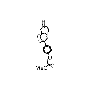 COC(=O)COc1ccc(C(=O)CN2CCNCC2=O)cc1